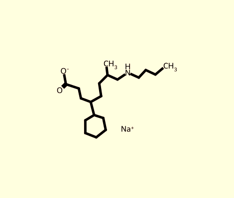 CCCCNCC(C)CCC(CCC(=O)[O-])C1CCCCC1.[Na+]